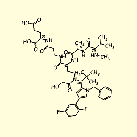 CN[C@H](C(=O)N[C@@H](C)C(=O)N[C@@H](CCN(C(=O)CO)[C@@H](c1cc(-c2cc(F)ccc2F)cn1Cc1ccccc1)C(C)(C)C)C(=O)NCCC(=O)N[C@H](CCC(=O)O)C(=O)O)C(C)C